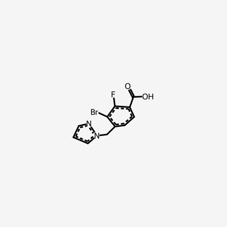 O=C(O)c1ccc(Cn2cccn2)c(Br)c1F